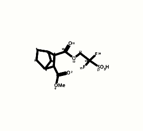 COC(=O)C1C2CCC(C2)C1C(=O)OCC(F)(F)S(=O)(=O)O